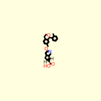 Cc1ccccc1C1OCCc2ccc(COc3cc4c(cn3)[C@H]3[C@@H](C4)[C@@H]3C(=O)O)cc21